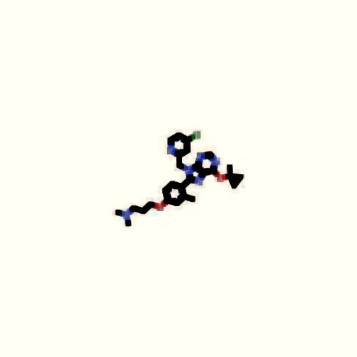 Cc1cc(OCCCN(C)C)ccc1-c1nc2c(OC3(C)CC3)ncnc2n1Cc1cc(Cl)ccn1